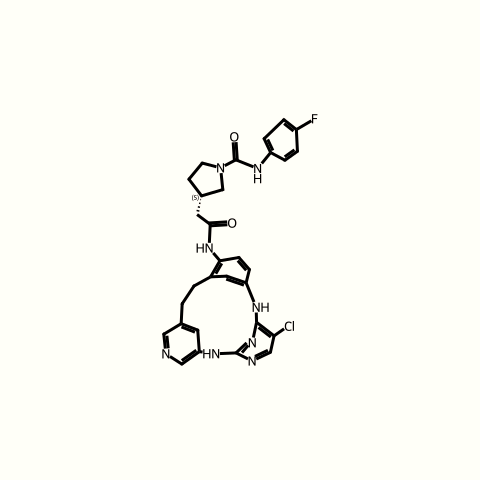 O=C(C[C@@H]1CCN(C(=O)Nc2ccc(F)cc2)C1)Nc1ccc2cc1CCc1cncc(c1)Nc1ncc(Cl)c(n1)N2